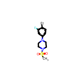 CCc1ccc(N2CCN(S(C)(=O)=O)CC2)cc1F